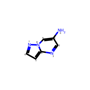 Nc1cnc2ccnn2c1